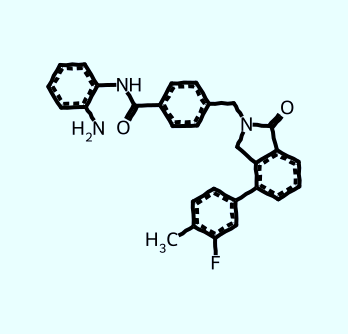 Cc1ccc(-c2cccc3c2CN(Cc2ccc(C(=O)Nc4ccccc4N)cc2)C3=O)cc1F